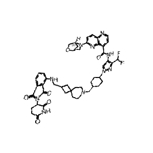 O=C1CCC(N2C(=O)c3cccc(NCC4CC5(CCN(CC6CCC(n7cc(NC(=O)c8ccnc9ccc(N%10CC%11C[C@@H]%10CO%11)nc89)c(C(F)F)n7)CC6)CC5)C4)c3C2=O)C(=O)N1